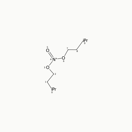 CC(C)CCO[N+](=O)OCCC(C)C